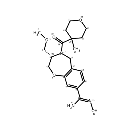 COC[C@H]1COc2cc(C(N)=NO)ccc2CN1C(=O)C1(C)CCOCC1